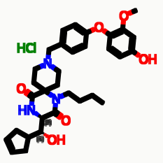 CCCCN1C(=O)[C@@H]([C@H](O)C2CC=CC2)NC(=O)C12CCN(Cc1ccc(Oc3ccc(O)cc3OC)cc1)CC2.Cl